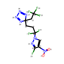 O=[N+]([O-])c1cn(C(F)(F)CCC2(CC(F)(F)F)N=NN=N2)nc1F